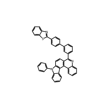 c1ccc(-n2c3ccccc3c3c4c(ccc32)c(-c2cccc(-c3ccc(-c5nc6ccccc6s5)cc3)c2)nc2ccccc24)cc1